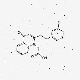 O=C(O)Cn1c(CCc2cccc(Cl)c2)cc(=O)c2ccccc21